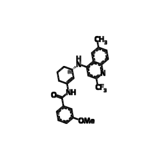 COc1cccc(C(=O)NC2=C[C@@H](Nc3cc(C(F)(F)F)nc4ccc(C)cc34)CCC2)c1